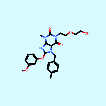 Cc1ccc(CN2C(Oc3cccc(OC(F)(F)F)c3)NC3C2C(=O)N(CCOCCO)C(=O)N3C)cc1